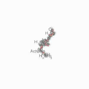 CC(=O)N[C@@H](CCC(=O)OCC[Si](C)(C)C)C(=O)OCCN1CCC[C@H]1C[C@H](CSc1ccccc1)Nc1ccc(S(=O)(=O)NC(=O)c2ccc(N3CCC([C@@H](C)c4ccccc4-c4ccc(Cl)cc4)CC3)cc2)cc1S(C)(=O)=O